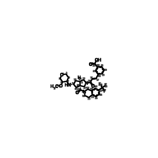 COC1COCCC1N[C@@H]1C[C@H]2CN(C(=O)/C=C/c3cccc(C(=O)O)c3)C[C@@]2(C(=O)N2CCc3ccc(C(F)(F)F)cc3C2)C1